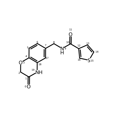 O=C1COc2ccc(CNC(=O)c3ccsc3)cc2N1